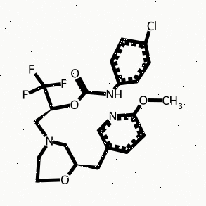 COc1ccc(C[C@@H]2CN(C[C@H](OC(=O)Nc3ccc(Cl)cc3)C(F)(F)F)CCO2)cn1